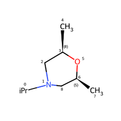 CC(C)N1C[C@@H](C)O[C@@H](C)C1